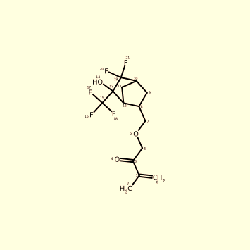 C=C(C)C(=O)COCC1CC2CC1C(O)(C(F)(F)F)C2(F)F